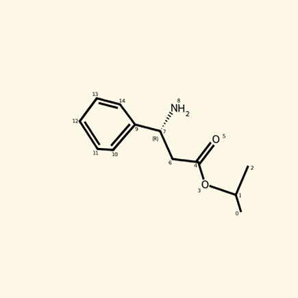 CC(C)OC(=O)C[C@@H](N)c1ccccc1